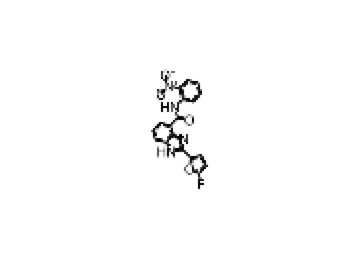 O=C(Nc1ccccc1[N+](=O)[O-])c1cccc2[nH]c(-c3ccc(F)o3)nc12